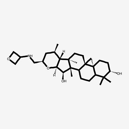 C[C@@H]1C[C@H](CNC2COC2)O[C@H]2[C@H]1[C@@]1(C)CC[C@@]34C[C@@]35CC[C@H](O)C(C)(C)C5CCC4[C@]1(C)[C@H]2O